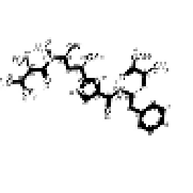 COC(=O)[C@@H](C)C[C@H](Cc1ccccc1)NC(=O)c1csc([C@@H](C[C@H](C(C)C)N(C)C(=O)[C@H](N)C(C(F)(F)F)C(F)(F)F)OC(C)=O)n1